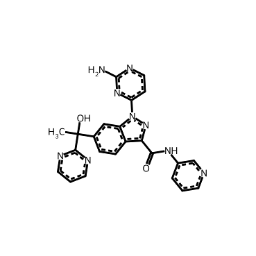 CC(O)(c1ccc2c(C(=O)Nc3cccnc3)nn(-c3ccnc(N)n3)c2c1)c1ncccn1